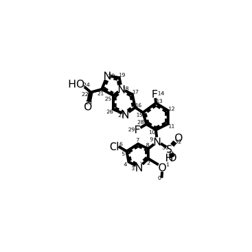 COc1ncc(Cl)cc1N(c1ccc(F)c(-c2cn3cnc(C(=O)O)c3cn2)c1F)[SH](=O)=O